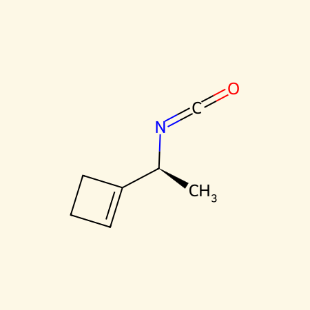 C[C@H](N=C=O)C1=CCC1